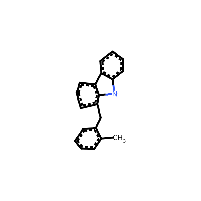 Cc1ccccc1Cc1cccc2c1[N]c1ccccc1-2